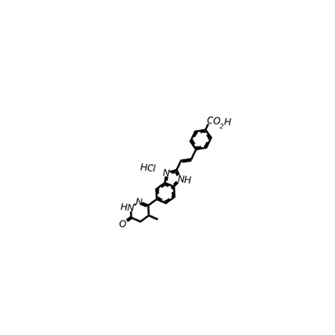 CC1CC(=O)NN=C1c1ccc2[nH]c(C=Cc3ccc(C(=O)O)cc3)nc2c1.Cl